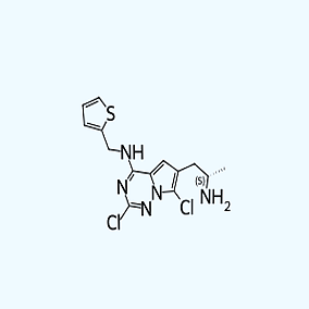 C[C@H](N)Cc1cc2c(NCc3cccs3)nc(Cl)nn2c1Cl